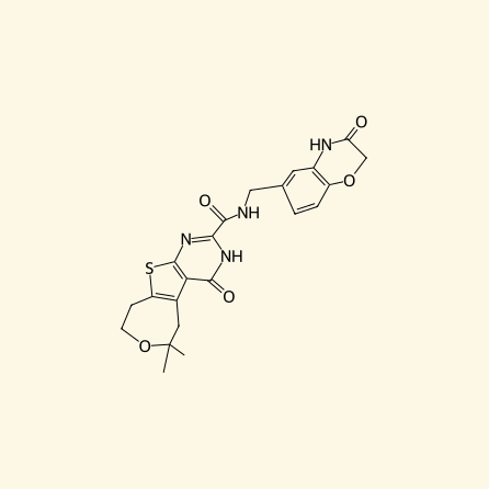 CC1(C)Cc2c(sc3nc(C(=O)NCc4ccc5c(c4)NC(=O)CO5)[nH]c(=O)c23)CCO1